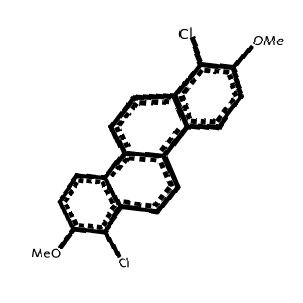 COc1ccc2c(ccc3c4ccc(OC)c(Cl)c4ccc23)c1Cl